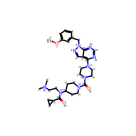 CCOc1cccc(Cn2ncc3c(N4CCN(C(=O)N5CCC(N(CCN(C)C)C(=O)C6CC6)CC5)CC4)ncnc32)c1